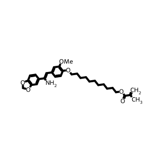 C=C(C)C(=O)OCCCCCCCCCCCOc1ccc(/C=C(\N)c2ccc3c(c2)OCO3)cc1OC